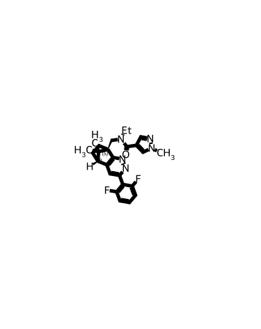 CCN(C[C@@]12CC[C@@H](c3cc(-c4c(F)cccc4F)nnc31)C2(C)C)C(=O)c1cnn(C)c1